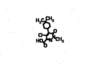 Cn1nc(C(=O)O)c(Cl)c(C2CCC(C)(C)CC2)c1=O